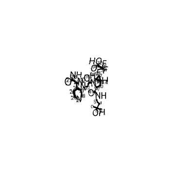 CC(C)(O)CCNC(=O)[C@@H]1C[C@H]2C[C@H]2N1C(=O)Cn1nc(C(N)=O)c2ccncc21.O=C(O)C(F)(F)F